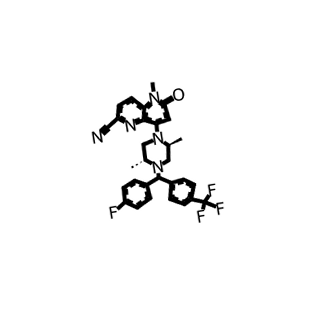 C[C@@H]1CN(c2cc(=O)n(C)c3ccc(C#N)nc23)[C@@H](C)CN1C(c1ccc(F)cc1)c1ccc(C(F)(F)F)cc1